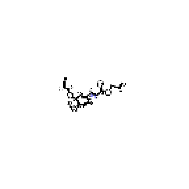 C=CCOC(=O)/C=C/c1ccc(OC)c(OCC=C)c1